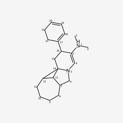 C[SiH](C)C1=CN2CC3CCCCC4C3C42CC1C1=CC=CCC1